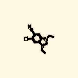 CCN1CN(CC)c2cc(C#N)c(Cl)cc21